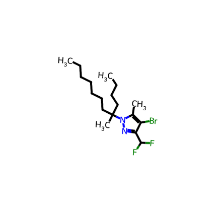 CCCCCCCC(C)(CCCC)n1nc(C(F)F)c(Br)c1C